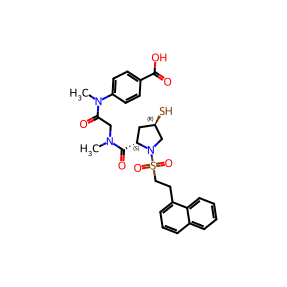 CN(CC(=O)N(C)c1ccc(C(=O)O)cc1)C(=O)[C@@H]1C[C@@H](S)CN1S(=O)(=O)CCc1cccc2ccccc12